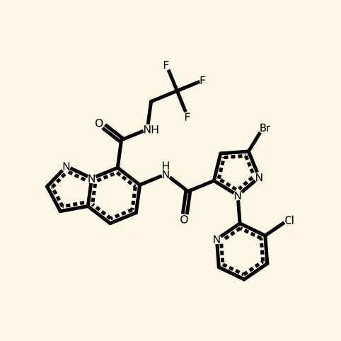 O=C(Nc1ccc2ccnn2c1C(=O)NCC(F)(F)F)c1cc(Br)nn1-c1ncccc1Cl